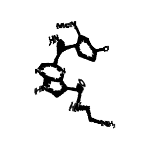 CNc1cc(Cl)ccc1C(=N)c1cnc2[nH]cc(C(=O)NCCN)c2n1